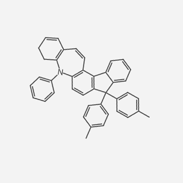 Cc1ccc(C2(c3ccc(C)cc3)c3ccccc3-c3c2ccc2c3C=CC3=C(CCC=C3)N2c2ccccc2)cc1